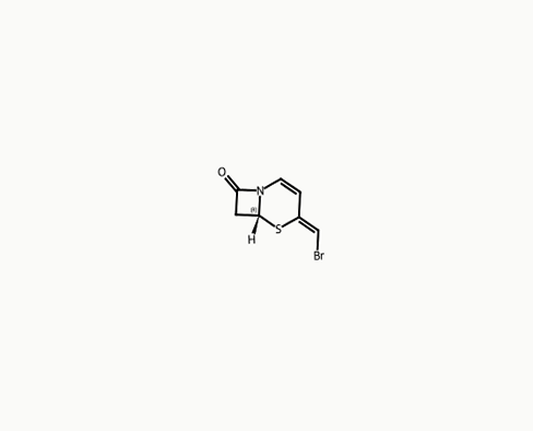 O=C1C[C@H]2SC(=CBr)C=CN12